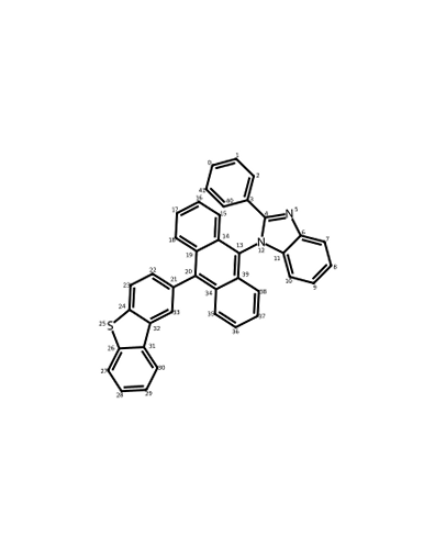 c1ccc(-c2nc3ccccc3n2-c2c3ccccc3c(-c3ccc4sc5ccccc5c4c3)c3ccccc23)cc1